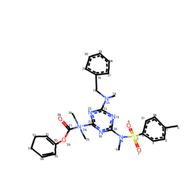 Cc1ccc(S(=O)(=O)N(C)c2nc(N(C)Cc3ccccc3)nc([N+](C)(C)C(=O)OC3=CC[CH]C=C3)n2)cc1